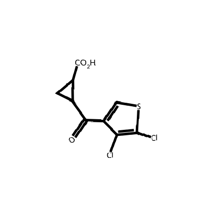 O=C(O)C1CC1C(=O)c1csc(Cl)c1Cl